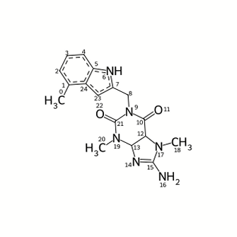 Cc1cccc2[nH]c(CN3C(=O)C4C(N=C(N)N4C)N(C)C3=O)cc12